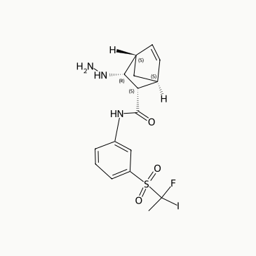 CC(F)(I)S(=O)(=O)c1cccc(NC(=O)[C@@H]2[C@H](NN)[C@@H]3C=C[C@@H]2C3)c1